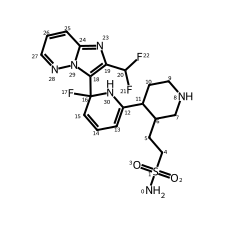 NS(=O)(=O)CCC1CNCCC1C1=CC=CC(F)(c2c(C(F)F)nc3cccnn23)N1